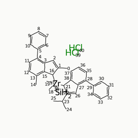 CC1=Cc2c(-c3ccccc3)ccc(C)c2[CH]1[Zr]([CH3])([CH3])(=[SiH2])[CH]1C(C(C)C)=Cc2c(-c3ccccc3)cccc21.Cl.Cl